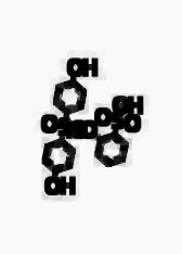 O=S(=O)(O)c1ccccc1O.O=S(=O)(c1ccc(O)cc1)c1ccc(O)cc1